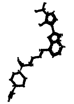 Cc1c(-c2cc3c(NCCNC(=O)[C@H]4CC[C@H](C#N)CC4)ccnc3[nH]2)cnn1C(C)C